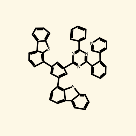 c1ccc(-c2nc(-c3cc(-c4cccc5c4sc4ccccc45)cc(-c4cccc5c4sc4ccccc45)c3)nc(-c3ccccc3-c3cccnc3)n2)cc1